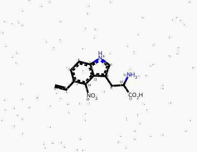 C=Cc1ccc2[nH]cc(CC(N)C(=O)O)c2c1[N+](=O)[O-]